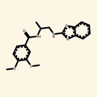 COc1ccc(C(=O)NC(C)CNc2nc3ccccc3o2)cc1OC